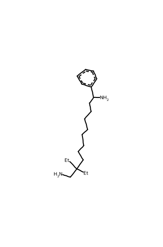 CCC(CC)(CN)CCCCCCCCC(N)c1ccccc1